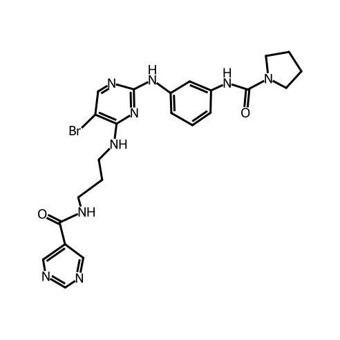 O=C(NCCCNc1nc(Nc2cccc(NC(=O)N3CCCC3)c2)ncc1Br)c1cncnc1